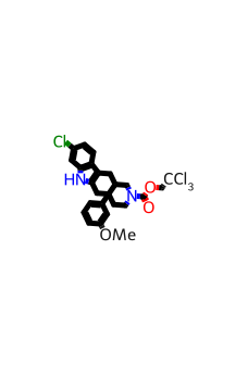 COc1cccc(C23CCN(C(=O)OCC(Cl)(Cl)Cl)CC2Cc2c([nH]c4cc(Cl)ccc24)C3)c1